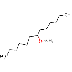 CCCCCCC(CCCCCC)O[SiH2]